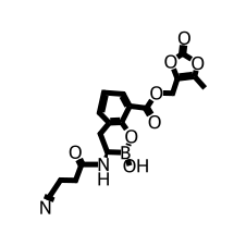 Cc1oc(=O)oc1COC(=O)c1cccc2c1OB(O)[C@@H](NC(=O)CCC#N)C2